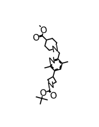 COC(=O)C1CCN(Cc2nc(C)c(C3CN(C(=O)OC(C)(C)C)C3)cc2C)CC1